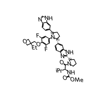 CCC1(COc2c(F)cc(N3[C@@H](c4ccc5nc[nH]c5c4)CC[C@@H]3c3ccc4nc([C@@H]5CCCN5C(=O)C(NC(=O)OC)C(C)C)[nH]c4c3)cc2F)COC1